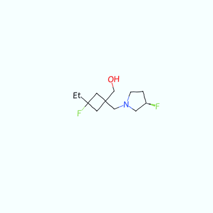 CCC1(F)CC(CO)(CN2CC[C@@H](F)C2)C1